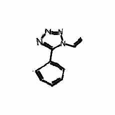 C=Cn1nnnc1-c1[c]cccc1